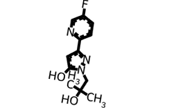 CC(C)(O)Cn1nc(-c2ccc(F)cn2)cc1O